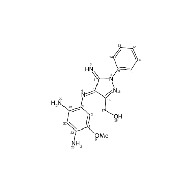 COc1cc(N=C2C(=N)N(c3ccccc3)N=C2CO)c(N)cc1N